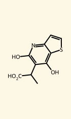 CC(C(=O)O)c1c(O)nc2ccsc2c1O